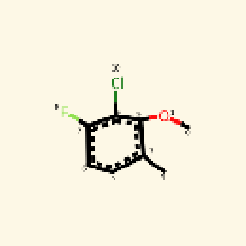 COc1c(C)ccc(F)c1Cl